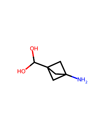 NC12CC(C(O)O)(C1)C2